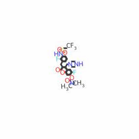 CN(C)C(=O)Oc1cc2oc(=O)c(Cc3cccc(NS(=O)(=O)CCC(F)(F)F)c3F)c(CN3CCNCC3)c2cc1F